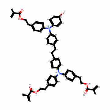 C=C(C)C(=O)OCCc1ccc(N(c2ccc(Br)cc2)c2ccc(CCc3ccc(N(c4ccc(CCOC(=O)C(=C)C)cc4)c4ccc(CCOC(=O)C(=C)C)cc4)cc3)cc2)cc1